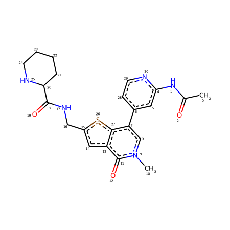 CC(=O)Nc1cc(-c2cn(C)c(=O)c3cc(CNC(=O)C4CCCCN4)sc23)ccn1